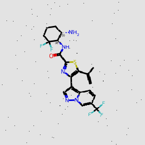 C=C(C)c1sc(C(=O)N[C@@H]2[C@@H](N)CCCC2(F)F)nc1-c1cnn2cc(C(F)(F)F)ccc12